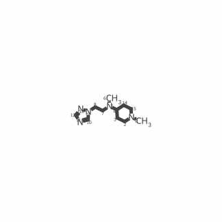 CN1CCC(N(C)CCn2cncn2)CC1